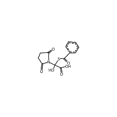 O=C(SC(O)(C(=O)O)N1C(=O)CCC1=O)c1ccccc1